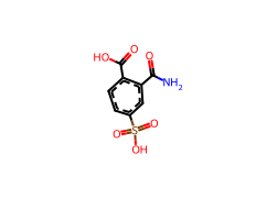 NC(=O)c1cc(S(=O)(=O)O)ccc1C(=O)O